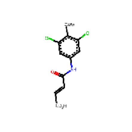 COc1c(Cl)cc(NC(=O)/C=C/C(=O)O)cc1Cl